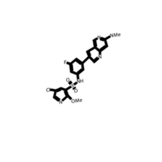 CNc1cc2ncc(-c3cc(F)cc(NS(=O)(=O)c4cc(Cl)cnc4OC)c3)cc2cn1